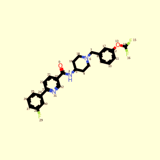 O=C(NC1CCN(Cc2cccc(OC(F)F)c2)CC1)c1ccc(-c2cccc(F)c2)nc1